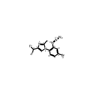 Cc1nc(C(F)F)cn1-c1ccc(Br)cc1N=[N+]=[N-]